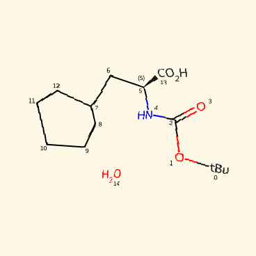 CC(C)(C)OC(=O)N[C@@H](CC1CCCCC1)C(=O)O.O